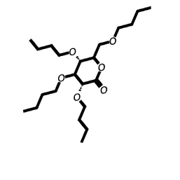 CCCCOCC1OC(=O)[C@H](OCCCC)C(OCCCC)[C@@H]1OCCCC